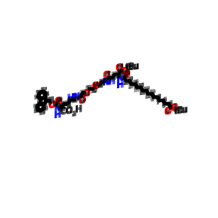 CC(C)(C)OC(=O)CCCCCCCCCCCCCCCCC(=O)N[C@@H](CCC(=O)NCCOCCOCC(=O)NCCCC[C@H](NC(=O)OCC1c2ccccc2-c2ccccc21)C(=O)O)C(=O)OC(C)(C)C